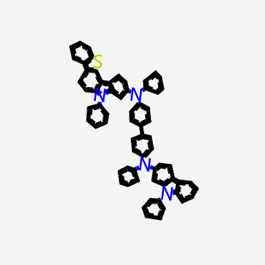 c1ccc(N(c2ccc(-c3ccc(N(c4ccccc4)c4ccc5c6c7sc8ccccc8c7ccc6n(-c6ccccc6)c5c4)cc3)cc2)c2ccc3c4ccccc4n(-c4ccccc4)c3c2)cc1